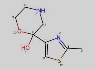 Cc1nc(C2(O)CNCCO2)cs1